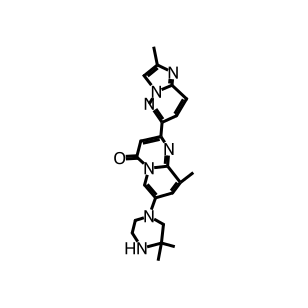 Cc1cn2nc(-c3cc(=O)n4cc(N5CCNC(C)(C)C5)cc(C)c4n3)ccc2n1